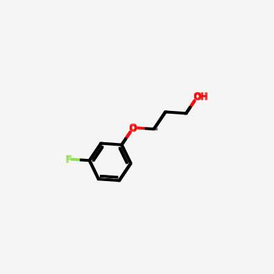 OCC[CH]Oc1cccc(F)c1